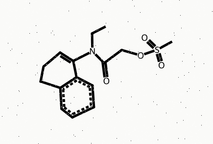 CCN(C(=O)COS(C)(=O)=O)C1=CCCc2ccccc21